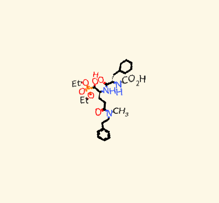 CCOP(=O)(OCC)C(O)[C@H](CCC(=O)N(C)CCc1ccccc1)NC(=O)[C@H](CC1CCCCC1)NC(=O)O